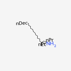 CCCCCCCCCCCCCCCCCCCCCCC(CC)CC(N)(CCC)CCC